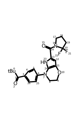 CC(C)(C)C(=O)c1ccc(N2CCOc3cc(C(=O)N4CCCC4(F)F)[nH]c32)cc1